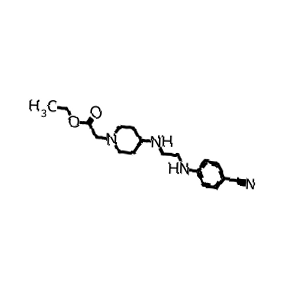 CCOC(=O)CN1CCC(NCCNc2ccc(C#N)cc2)CC1